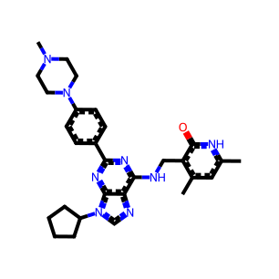 Cc1cc(C)c(CNc2nc(-c3ccc(N4CCN(C)CC4)cc3)nc3c2ncn3C2CCCC2)c(=O)[nH]1